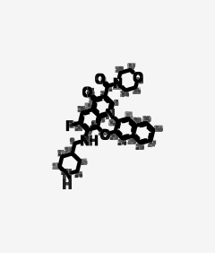 O=C(c1cn2c3c(c(NCC4CCNCC4)c(F)cc3c1=O)Oc1cc3ccccc3cc1-2)N1CCOCC1